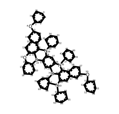 c1ccc(Oc2ccc3c4c5c(cc3c2)Oc2ccccc2B5c2cc3c(cc2N4c2ccccc2)N(c2ccccc2)c2c4c(cc5cc(Oc6ccccc6)ccc25)N(c2ccccc2)c2ccccc2B34)cc1